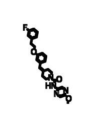 COc1cnc(NC(=O)N2CCC(=Cc3cccc(OCCc4cccc(F)c4)c3)CC2)cn1